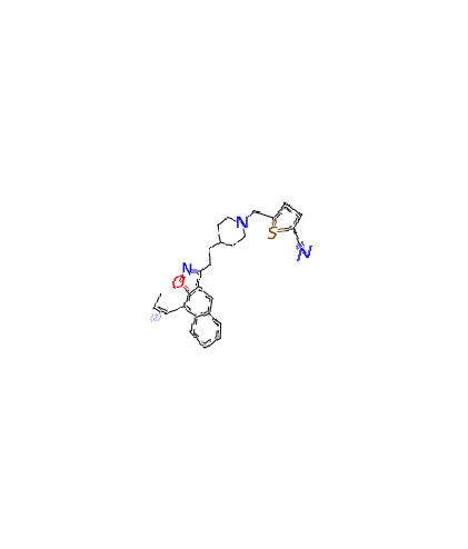 C/C=C\c1c2ccccc2cc2c(CCC3CCN(Cc4ccc(C#N)s4)CC3)noc12